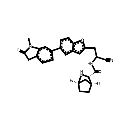 CN1C(=O)Cc2ccc(-c3ccc4oc(CC(C#N)NC(=O)[C@H]5N[C@@H]6CC[C@H]5C6)cc4c3)cc21